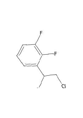 [CH2]C(CCl)c1cccc(F)c1F